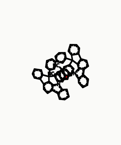 N#Cc1cc(-n2c3ccccc3c3ccc4c(c32)C(c2ccccc2)(c2ccccc2)c2ccccc2-4)cc(-n2c3ccccc3c3ccc4c(c32)C(c2ccccc2)(c2ccccc2)c2ccccc2-4)c1C#N